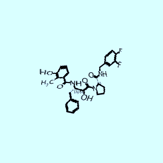 Cc1c(O)cccc1C(=O)N[C@@H](Cc1ccccc1)[C@H](O)C(=O)N1CCC[C@H]1C(=O)NCc1ccc(F)c(F)c1